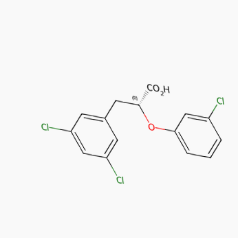 O=C(O)[C@@H](Cc1cc(Cl)cc(Cl)c1)Oc1cccc(Cl)c1